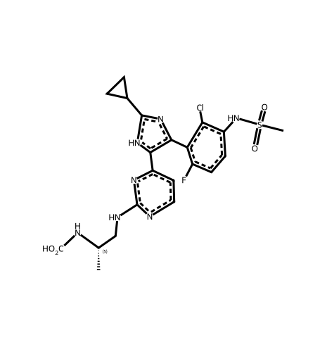 C[C@@H](CNc1nccc(-c2[nH]c(C3CC3)nc2-c2c(F)ccc(NS(C)(=O)=O)c2Cl)n1)NC(=O)O